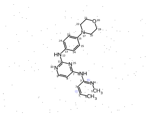 C/C=C\C(=N/C)Nc1ccnc(Nc2ccc(N3CCOCC3)cc2)n1